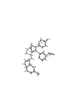 CNc1nccc(-c2c(-c3ccc(F)cc3)nc3n2C(Cn2ccc4ccc(Br)cc42)CC3)n1